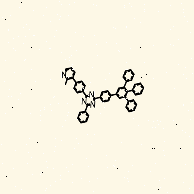 Cc1ncccc1-c1ccc(-c2nc(-c3ccccc3)nc(-c3ccc(-c4cc(-c5ccccc5)c(-c5ccccc5)c(-c5ccccc5)c4)cc3)n2)cc1